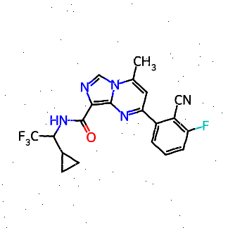 Cc1cc(-c2cccc(F)c2C#N)nc2c(C(=O)NC(C3CC3)C(F)(F)F)ncn12